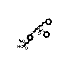 CCOC(Cc1ccc(OCCN(CCCC2CCCCC2)C(=O)NC2CCCCC2)cc1)C(=O)O